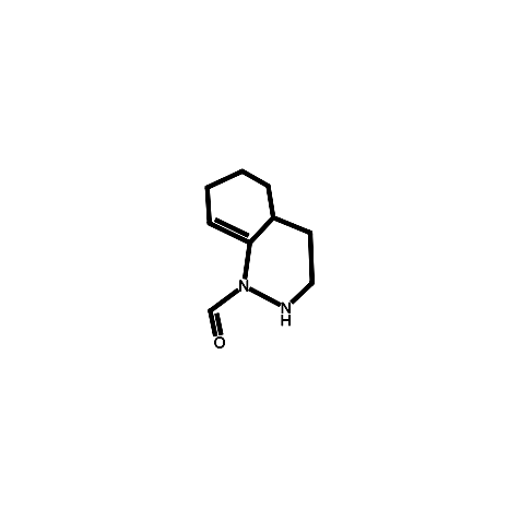 O=CN1NCCC2CCCC=C21